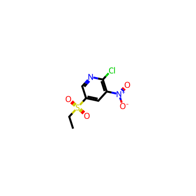 CCS(=O)(=O)c1cnc(Cl)c([N+](=O)[O-])c1